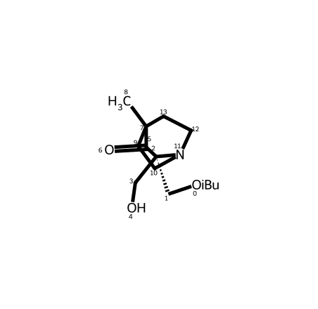 CC(C)COC[C@]1(CO)C(=O)C2(C)CCN1CC2